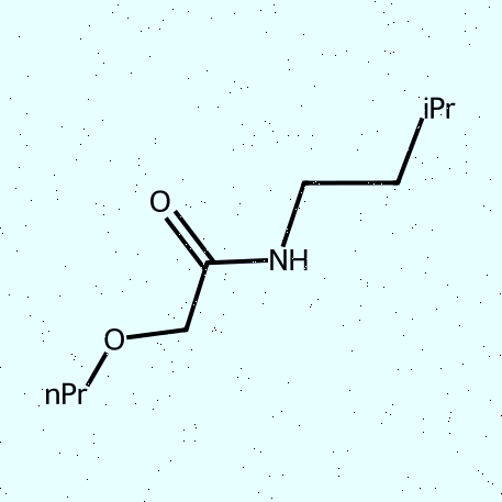 CCCOCC(=O)NCCC(C)C